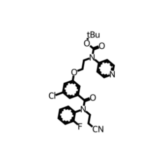 CC(C)(C)OC(=O)N(CCOc1cc(Cl)cc(C(=O)N(CCC#N)c2ccccc2F)c1)c1ccncc1